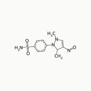 CC1C(N=O)=CN(C)N1c1ccc(S(N)(=O)=O)cc1